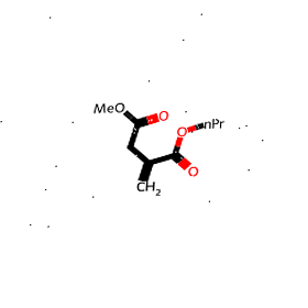 C=C(CC(=O)OC)C(=O)OCCC